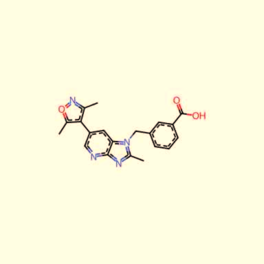 Cc1noc(C)c1-c1cnc2nc(C)n(Cc3cccc(C(=O)O)c3)c2c1